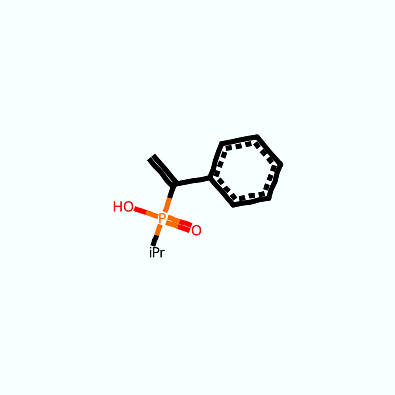 C=C(c1ccccc1)P(=O)(O)C(C)C